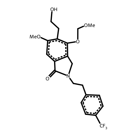 COCOc1c(CCO)c(OC)cc2c1CN(CCc1ccc(C(F)(F)F)cc1)C2=O